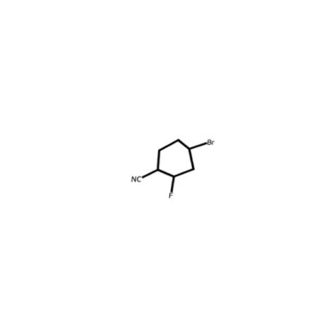 N#CC1CCC(Br)CC1F